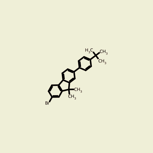 CC(C)(C)c1ccc(-c2ccc3c(c2)C(C)(C)c2cc(Br)ccc2-3)cc1